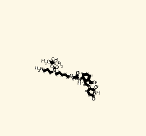 CC(C)(C)OC(=O)N(CCCN)CCCCCOCC(=O)Nc1cccc2c1CN(C1CCC(=O)NC1=O)C2=O